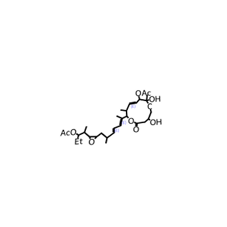 CCC(OC(C)=O)C(C)C1OC1CC(C)/C=C/C=C(\C)C1OC(=O)CC(O)CCC(C)(O)C(OC(C)=O)/C=C/C1C